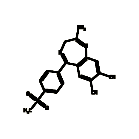 CS(=O)(=O)c1ccc(C2=NCC(N)=Nc3cc(C#N)c(C#N)cc32)cc1